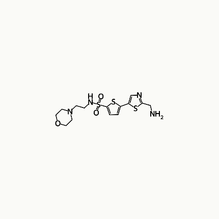 NCc1ncc(-c2ccc(S(=O)(=O)NCCN3CCOCC3)s2)s1